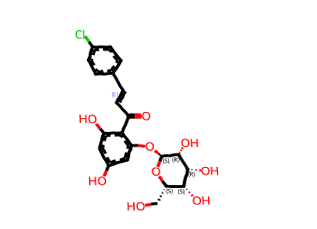 O=C(/C=C/c1ccc(Cl)cc1)c1c(O)cc(O)cc1O[C@@H]1O[C@@H](CO)[C@@H](O)[C@@H](O)[C@H]1O